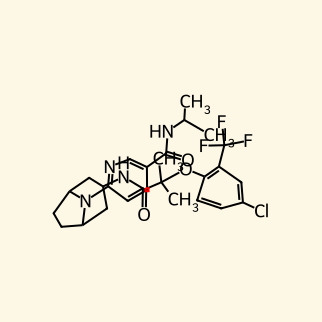 CC(C)NC(=O)c1ccc(N2C3CCC2CC(NC(=O)C(C)(C)Oc2ccc(Cl)cc2C(F)(F)F)C3)nc1